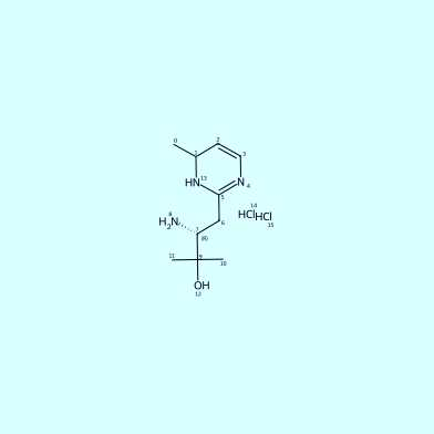 CC1C=CN=C(C[C@@H](N)C(C)(C)O)N1.Cl.Cl